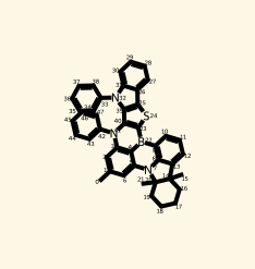 Cc1cc2c3c(c1)N1c4c(cccc4C4(C)CCCCC14C)B3c1sc3c4ccccc4n(-c4ccccc4)c3c1N2c1ccccc1